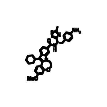 COc1ccc2c(c1)OCCn1c-2c(C2CCCCC2)c2ccc(C(=O)N[C@@H](Cc3ccc(N)cc3)c3csc(C)n3)cc21